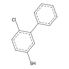 Sc1ccc(Cl)c(-c2ccccc2)c1